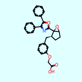 O=C(O)COc1cccc(C[C@@H]2CCC3OC32c2nc(-c3ccccc3)c(-c3ccccc3)o2)c1